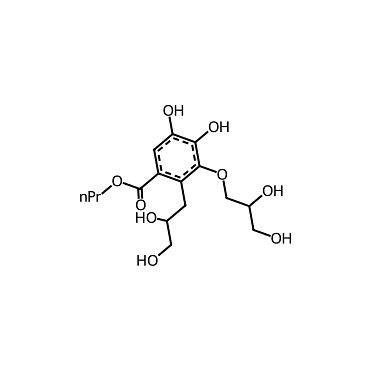 CCCOC(=O)c1cc(O)c(O)c(OCC(O)CO)c1CC(O)CO